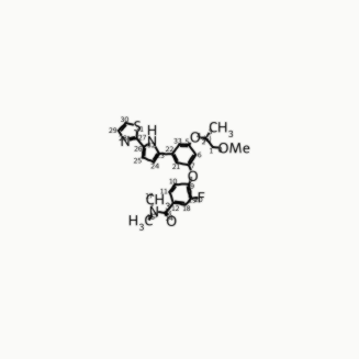 COC[C@H](C)Oc1cc(Oc2ccc(C(=O)N(C)C)cc2F)cc(-c2ccc(-c3nccs3)[nH]2)c1